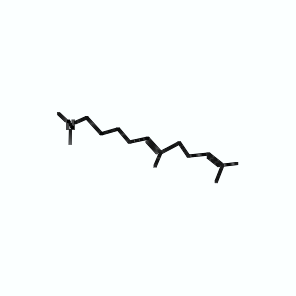 CC(C)=CCC/C(C)=C/CCCCN(C)C